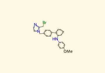 COc1ccc(Nc2ccccc2-c2ccc(Cn3ccnc3CBr)cc2)cc1